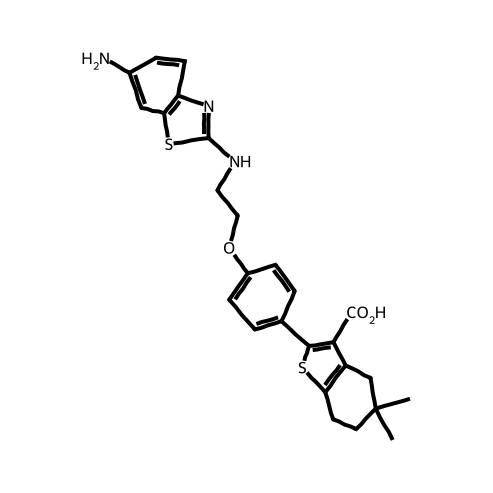 CC1(C)CCc2sc(-c3ccc(OCCNc4nc5ccc(N)cc5s4)cc3)c(C(=O)O)c2C1